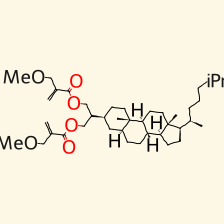 C=C(COC)C(=O)OCC(COC(=O)C(=C)COC)[C@H]1CC[C@@]2(C)[C@@H](CC[C@@H]3[C@@H]2CC[C@]2(C)[C@@H]([C@H](C)CCCC(C)C)CC[C@@H]32)C1